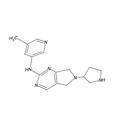 Cc1cncc(Nc2ncc3c(n2)CN(C2CCNC2)C3)c1